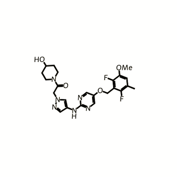 COc1cc(C)c(F)c(COc2cnc(Nc3cnn(CC(=O)N4CCC(O)CC4)c3)nc2)c1F